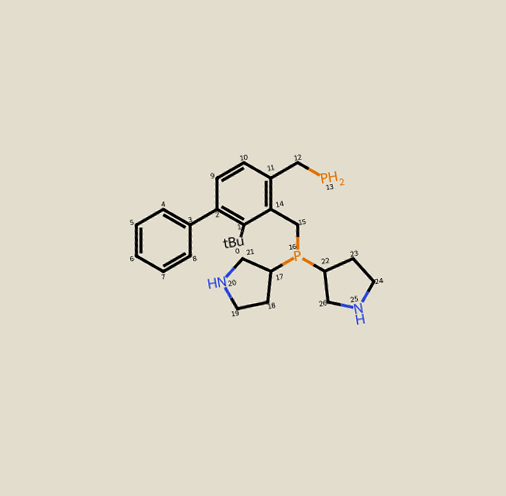 CC(C)(C)c1c(-c2ccccc2)ccc(CP)c1CP(C1CCNC1)C1CCNC1